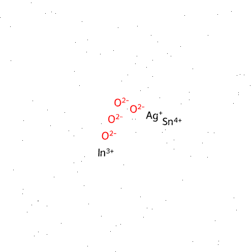 [Ag+].[In+3].[O-2].[O-2].[O-2].[O-2].[Sn+4]